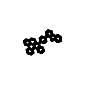 c1ccc(-c2c3ccccc3c(-c3ccc(-c4cccc5c4oc4ccccc45)cc3)c3ccc4ccccc4c23)cc1